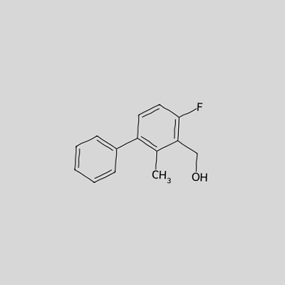 Cc1c(-c2ccccc2)ccc(F)c1CO